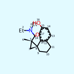 CCN(CC)C(=O)[C@@]1(C)C[C@@]12CCCc1ccc(O)cc12